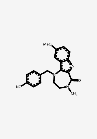 COc1ccc2sc3c(c2c1)N(Cc1ccc(C#N)cc1)CCN(C)C3=O